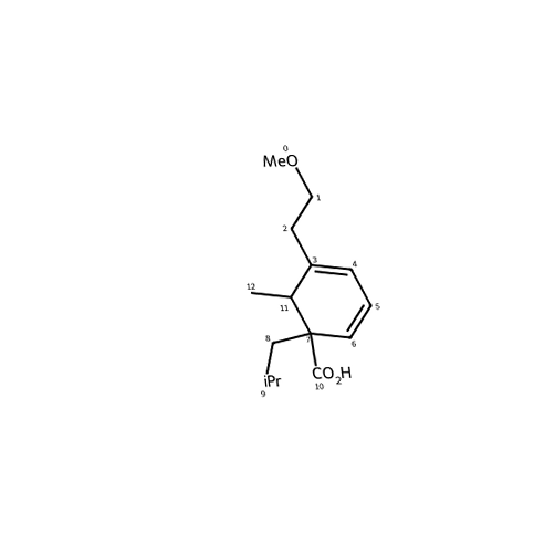 COCCC1=CC=CC(CC(C)C)(C(=O)O)C1C